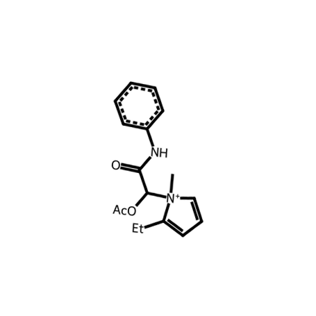 CCC1=CC=C[N+]1(C)C(OC(C)=O)C(=O)Nc1ccccc1